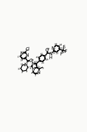 Cc1nccn2c([C@@H]3CCCCN3C(=O)c3ccnc(Cl)n3)nc(-c3ccc(C(=O)Nc4cc(C(F)(F)F)ccn4)cc3)c12